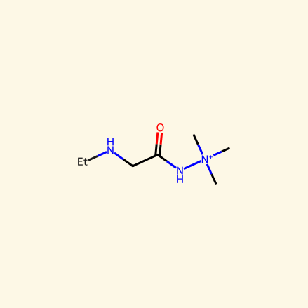 CCNCC(=O)N[N+](C)(C)C